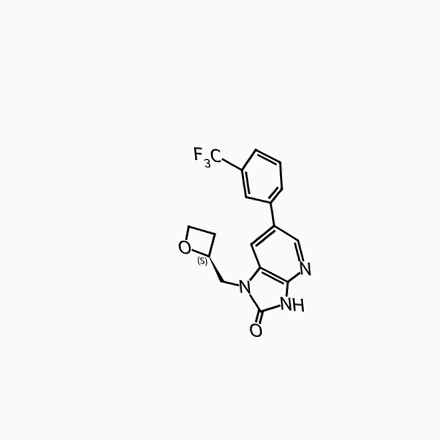 O=c1[nH]c2ncc(-c3cccc(C(F)(F)F)c3)cc2n1C[C@@H]1CCO1